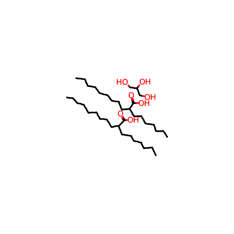 CCCCCCCCCC(CCCCCCC)C(=O)O.CCCCCCCCCC(CCCCCCC)C(=O)O.OCC(O)CO